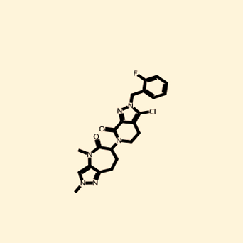 CN1C(=O)C(N2CCc3c(nn(Cc4ccccc4F)c3Cl)C2=O)CCc2nn(C)cc21